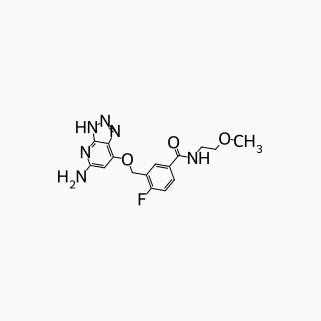 COCCNC(=O)c1ccc(F)c(COc2cc(N)nc3[nH]nnc23)c1